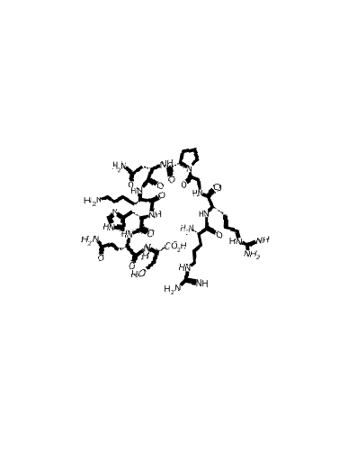 N=C(N)NCCC[C@H](NC(=O)[C@@H](N)CCCNC(=N)N)C(=O)NCC(=O)N1CCC[C@H]1C(=O)N[C@@H](CC(N)=O)C(=O)N[C@@H](CCCCN)C(=O)N[C@@H](Cc1c[nH]cn1)C(=O)N[C@@H](CCC(N)=O)C(=O)N[C@@H](CO)C(=O)O